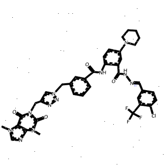 Cn1cnc2c1c(=O)n(Cc1cn(Cc3cccc(C(=O)Nc4ccc(N5CCCCC5)cc4C(=O)N/N=C/c4ccc(Cl)c(C(F)(F)F)c4)c3)nn1)c(=O)n2C